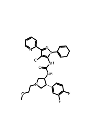 COCCN1C[C@@H](NC(=O)Nc2c(Cl)c(-c3ccccn3)nn2C2=CCCC=C2)[C@H](c2ccc(F)c(F)c2)C1